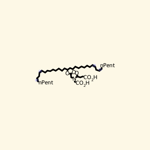 CCCCC/C=C\C/C=C\CCCCCCCCC(CCCCCCCC/C=C\C/C=C\CCCCC)OC(=O)CN(CC(=O)O)C(=O)CCC(=O)O